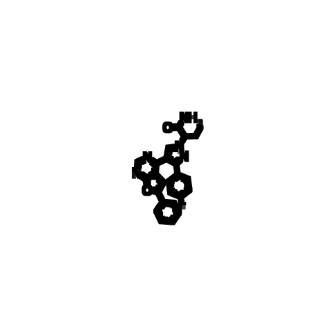 CCC(C(N)=O)n1cc(-c2ncnc3oc(-c4ccccc4)cc23)c(-c2ccc(F)cc2)n1